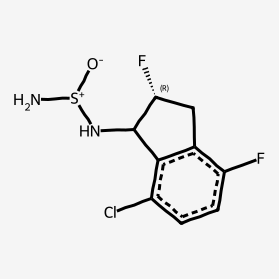 N[S+]([O-])NC1c2c(Cl)ccc(F)c2C[C@H]1F